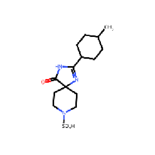 CC1CCC(C2=NC3(CCN(S(=O)(=O)O)CC3)C(=O)N2)CC1